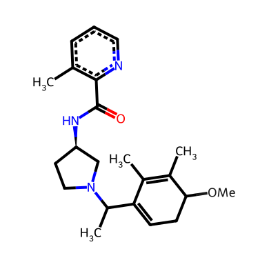 COC1CC=C(C(C)N2CC[C@@H](NC(=O)c3ncccc3C)C2)C(C)=C1C